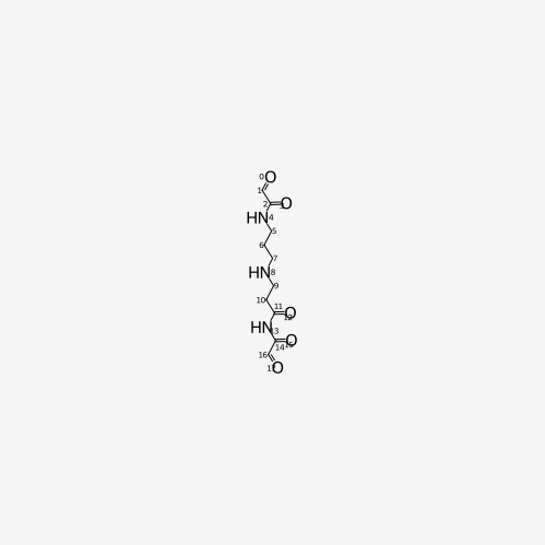 O=CC(=O)NCCCNCCC(=O)NC(=O)C=O